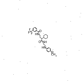 COc1ccc(NCCNC(=O)C(CCNC(=O)c2cccc(C(F)(F)F)c2)C2CCCCC2)cc1